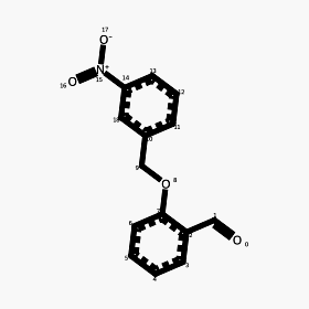 O=Cc1ccccc1OCc1cccc([N+](=O)[O-])c1